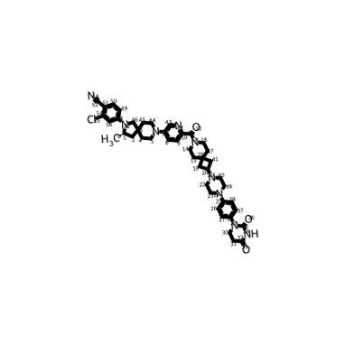 C[C@H]1CC2(CCN(c3ccc(C(=O)N4CCC5(CC4)CC(N4CCN(c6ccc(N7CCC(=O)NC7=O)cc6)CC4)C5)nc3)CC2)CN1c1ccc(C#N)c(Cl)c1